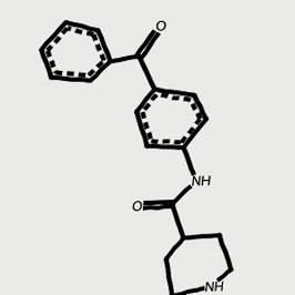 O=C(c1ccccc1)c1ccc(NC(=O)C2CCNCC2)cc1